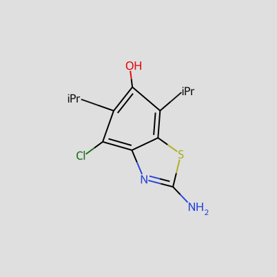 CC(C)c1c(O)c(C(C)C)c2sc(N)nc2c1Cl